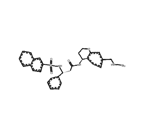 CC(C)(C)NCc1ccc2c(c1)OCC[C@@H]2NC(=O)C[C@@H](NS(=O)(=O)c1ccc2ccccc2c1)c1ccccc1